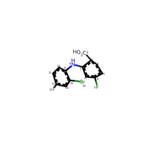 O=C(O)c1ccc(F)cc1Nc1ccc(I)cc1Br